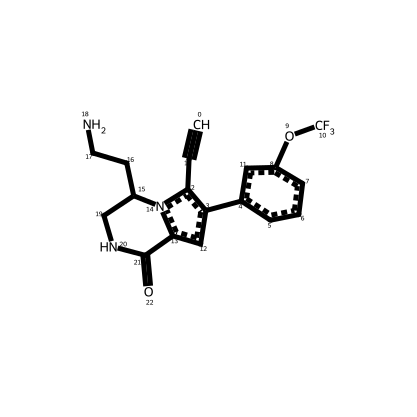 C#Cc1c(-c2cccc(OC(F)(F)F)c2)cc2n1C(CCN)CNC2=O